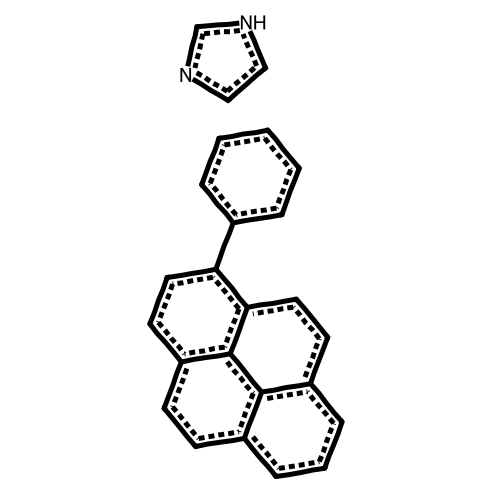 c1c[nH]cn1.c1ccc(-c2ccc3ccc4cccc5ccc2c3c45)cc1